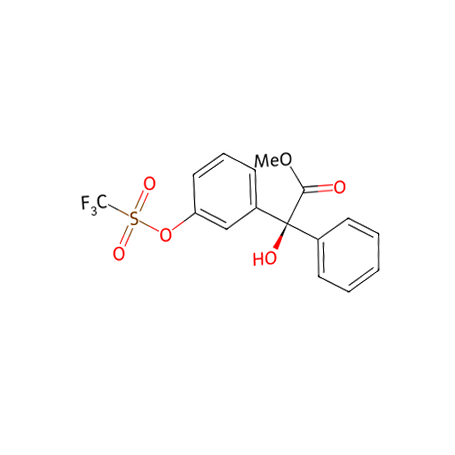 COC(=O)[C@](O)(c1ccccc1)c1cccc(OS(=O)(=O)C(F)(F)F)c1